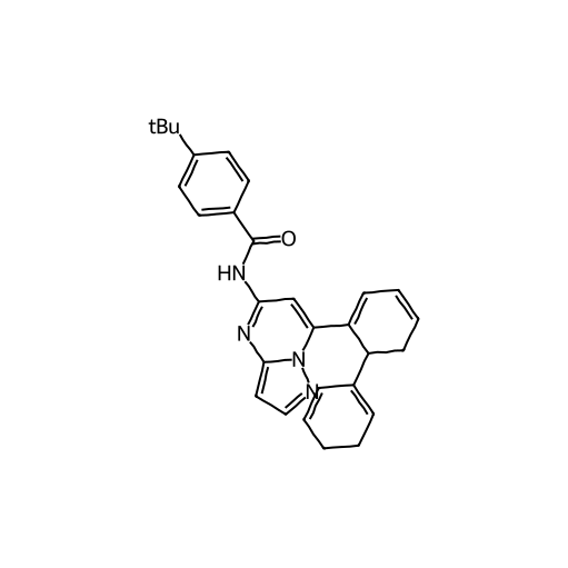 CC(C)(C)c1ccc(C(=O)Nc2cc(C3=CC=CCC3C3=CCCC=C3)n3nccc3n2)cc1